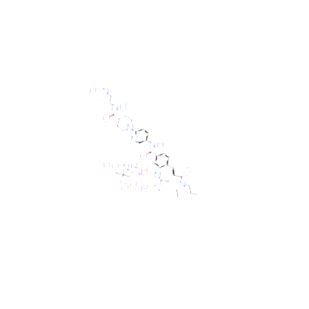 CCCN(CCC)C(=O)C1=Cc2ccc(C(=O)Nc3ccc(N4CCC(C(=O)NCCN)CC4)nc3)cc2N=C(N)C1.NC(CO)(CO)CO